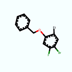 CCc1cc(Br)c(F)cc1OCc1ccccc1